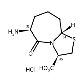 Cl.N[C@H]1CCC[C@@H]2SC[C@@H](C(=O)O)N2C1=O